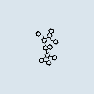 c1ccc(Cc2ccc(-c3ccc(-c4cc(-c5ccccc5-c5ccccc5)nc(-c5ccccc5)n4)c4ccccc34)cc2-c2cc3ccccc3cc2Cc2ccccc2)cc1